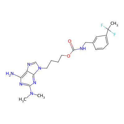 CN(C)c1nc(N)c2ncn(CCCCOC(=O)NCc3cccc(C(C)(F)F)c3)c2n1